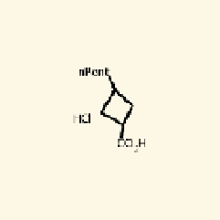 CCCCCC1CC(C(=O)O)C1.Cl